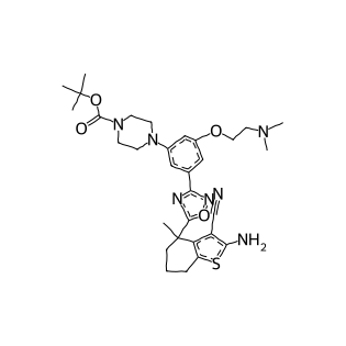 CN(C)CCOc1cc(-c2noc(C3(C)CCCc4sc(N)c(C#N)c43)n2)cc(N2CCN(C(=O)OC(C)(C)C)CC2)c1